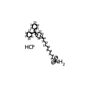 Cl.NS(=O)(=O)CCCCCCCCCCN1CCN(C(c2ccccc2)c2ccccc2)CC1